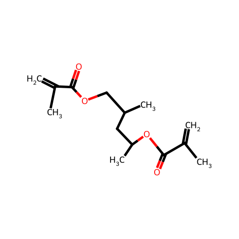 C=C(C)C(=O)OCC(C)CC(C)OC(=O)C(=C)C